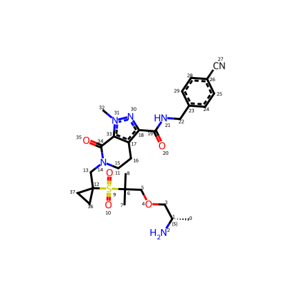 C[C@H](N)COCC(C)(C)S(=O)(=O)C1(CN2CCc3c(C(=O)NCc4ccc(C#N)cc4)nn(C)c3C2=O)CC1